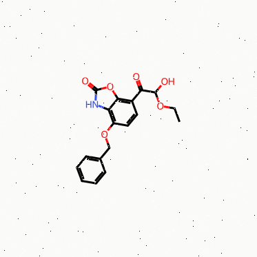 CCOC(O)C(=O)c1ccc(OCc2ccccc2)c2[nH]c(=O)oc12